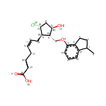 CC1CCc2c(OC[C@@H]3[C@@H](C/C=C\CCCC(=O)O)[C@H](Cl)C[C@H]3O)cccc21